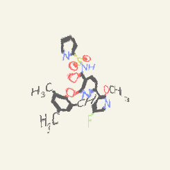 COc1ncc(F)cc1-c1ccc(C(=O)NS(=O)(=O)c2ccccn2)c(Oc2c(C)cc(C)cc2C)n1